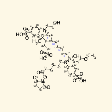 COCCC1(C)C(/C=C/C=C/C=C/C=C2/N(CCO)c3ccc(S(=O)(=O)O)cc3C2(C)CCCS(=O)(=O)O)=[N+](CCCCCC(=O)ON2C(=O)CCC2=O)c2ccc(S(=O)(=O)O)cc21